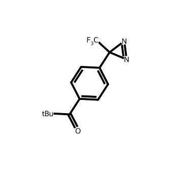 CC(C)(C)C(=O)c1ccc(C2(C(F)(F)F)N=N2)cc1